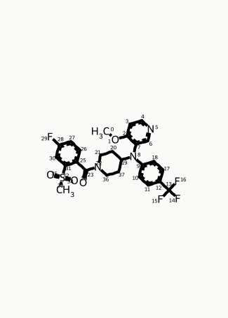 COc1ccncc1N(c1ccc(C(F)(F)F)cc1)C1CCN(C(=O)c2ccc(F)cc2S(C)(=O)=O)CC1